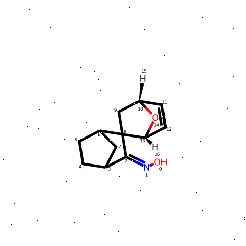 O/N=C1/C2CCC(C2)C12C[C@@H]1C=C[C@H]2O1